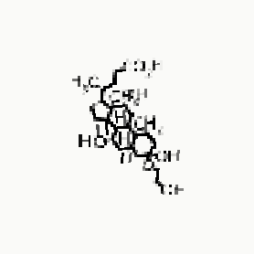 C[C@H](CCC(=O)O)[C@H]1CC[C@H]2[C@@H]3[C@H](O)C[C@@H]4C[C@@](O)(OCCO)CC[C@]4(C)[C@H]3C[C@H](O)[C@]12C